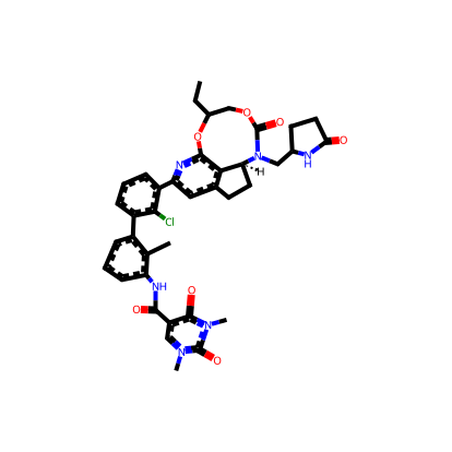 CCC1COC(=O)N(CC2CCC(=O)N2)[C@H]2CCc3cc(-c4cccc(-c5cccc(NC(=O)c6cn(C)c(=O)n(C)c6=O)c5C)c4Cl)nc(c32)O1